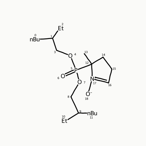 CCCCC(CC)COP(=O)(OCC(CC)CCCC)C1(C)CCC=[N+]1[O-]